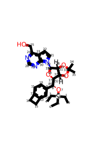 CC[Si](CC)(CC)O[C@H](c1ccc2c(c1)CC2)[C@H]1O[C@@H](n2ccc3c(CO)ncnc32)[C@@H]2OC(C)(C)O[C@@H]21